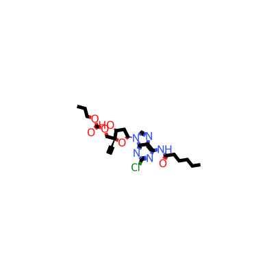 C#C[C@]1(COC(=O)OCCC)O[C@@H](n2cnc3c(NC(=O)CCCCC)nc(Cl)nc32)C[C@@H]1O